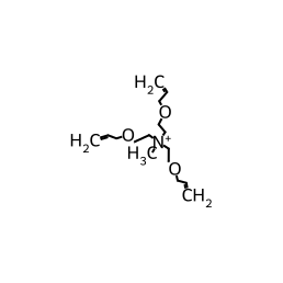 C=CCOCC[N+](C)(CCOCC=C)CCOCC=C